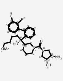 COCCCC[C@@](O)(c1ccccc1-c1cccc(F)c1F)[C@@H]1CCCN(C(=O)N2C[C@@H](N)[C@@H](O)C2)C1